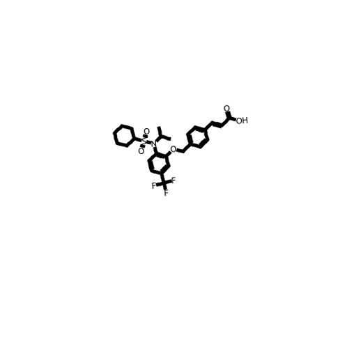 CC(C)N(c1ccc(C(F)(F)F)cc1OCc1ccc(C=CC(=O)O)cc1)S(=O)(=O)C1CCCCC1